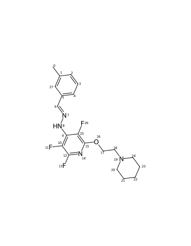 Cc1cccc(/C=N/Nc2c(F)c(F)nc(OCCN3CCCCC3)c2F)c1